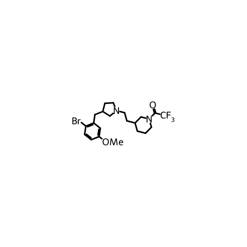 COc1ccc(Br)c(CC2CCN(CCC3CCCN(C(=O)C(F)(F)F)C3)C2)c1